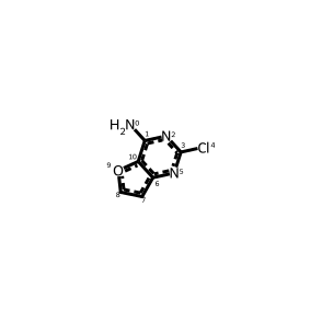 Nc1nc(Cl)nc2ccoc12